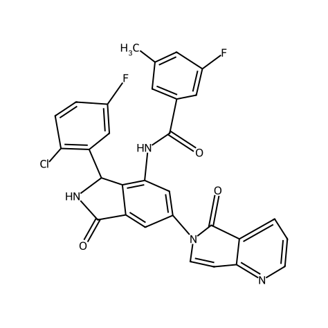 Cc1cc(F)cc(C(=O)Nc2cc(-n3ccc4ncccc4c3=O)cc3c2C(c2cc(F)ccc2Cl)NC3=O)c1